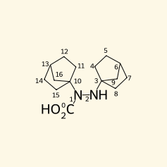 O=C(O)N(NC12CCC(CC1)C2)C12CCC(CC1)C2